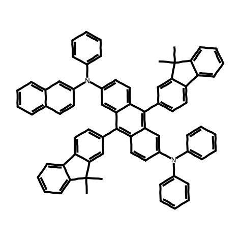 CC1(C)c2ccccc2-c2ccc(-c3c4ccc(N(c5ccccc5)c5ccc6ccccc6c5)cc4c(-c4ccc5c(c4)C(C)(C)c4ccccc4-5)c4ccc(N(c5ccccc5)c5ccccc5)cc34)cc21